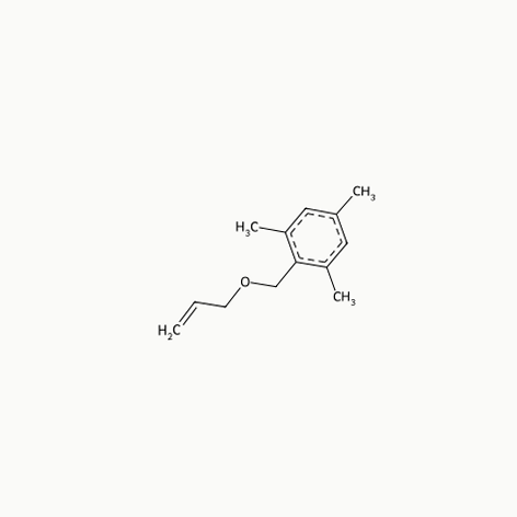 C=CCOCc1c(C)cc(C)cc1C